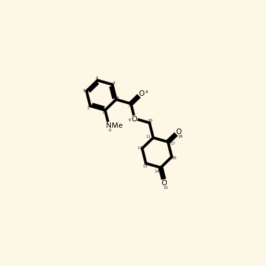 CNc1ccccc1C(=O)OCC1CCC(=O)CC1=O